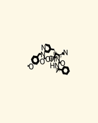 COc1ccc(CN(C(=O)O)c2cc(C[C@H]3C(=O)N(C(=O)N[C@H](C)c4ccccc4)[C@@H]3C#N)ccn2)cc1